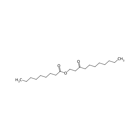 CCCCCCCCC(=O)CCOC(=O)CCCCCCCC